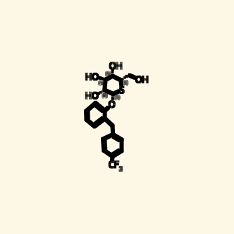 OC[C@@H]1S[C@H](Oc2ccccc2Cc2ccc(C(F)(F)F)cc2)[C@H](O)[C@@H](O)[C@@H]1O